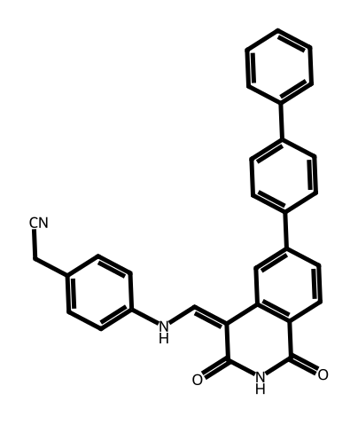 N#CCc1ccc(NC=C2C(=O)NC(=O)c3ccc(-c4ccc(-c5ccccc5)cc4)cc32)cc1